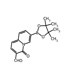 CC1(C)OB(c2ccc3ccc(C=O)c(=O)n3c2)OC1(C)C